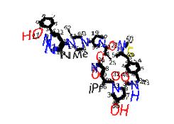 CNc1nnc(-c2ccccc2O)cc1N1CCN(C2CCN(C(=O)[C@@H](C)Oc3cc(C(C(=O)N4C[C@H](O)C[C@H]4C(=O)N[C@@H](C)c4ccc(-c5scnc5C)cc4)C(C)C)on3)C2)C[C@@H]1C